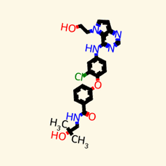 CC(C)(O)CNC(=O)c1cccc(Oc2ccc(Nc3ncnc4ccn(CCO)c34)cc2Cl)c1